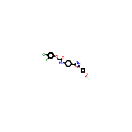 O=C(COc1ccc(Cl)c(F)c1)NC1CCC(c2nnc([C@H]3C[C@@H](OC(F)(F)F)C3)o2)CC1